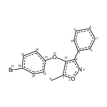 Cc1onc(-c2ccccc2)c1Oc1ccc(Br)cc1